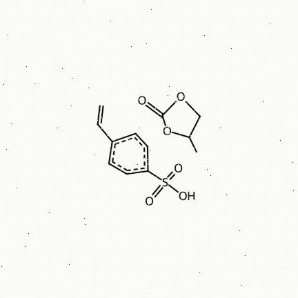 C=Cc1ccc(S(=O)(=O)O)cc1.CC1COC(=O)O1